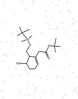 CC(C)(C)OC(=O)CC1=CCCC(O)C1CO[Si](C)(C)C(C)(C)C